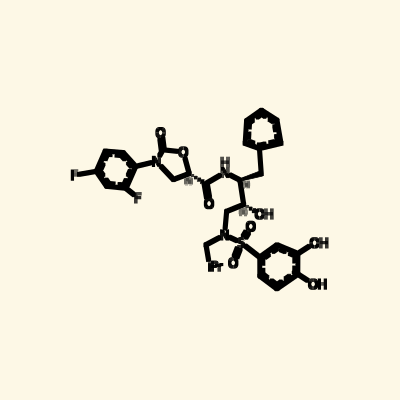 CC(C)CN(C[C@@H](O)[C@H](Cc1ccccc1)NC(=O)[C@@H]1CN(c2ccc(F)cc2F)C(=O)O1)S(=O)(=O)c1ccc(O)c(O)c1